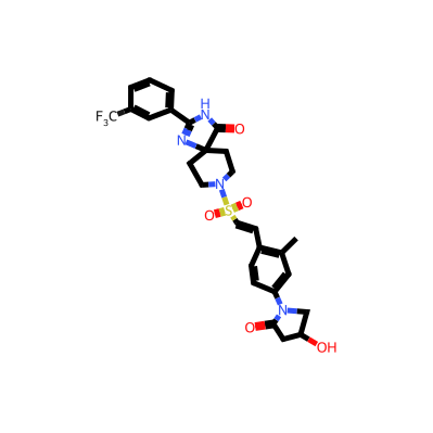 Cc1cc(N2CC(O)CC2=O)ccc1C=CS(=O)(=O)N1CCC2(CC1)N=C(c1cccc(C(F)(F)F)c1)NC2=O